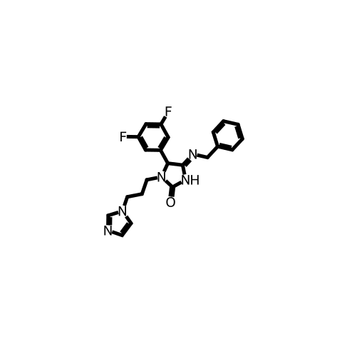 O=C1N/C(=N\Cc2ccccc2)C(c2cc(F)cc(F)c2)N1CCCn1ccnc1